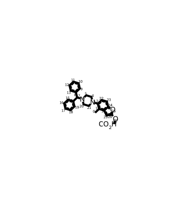 Cc1c(N2CCN(C(c3ccccc3)c3ccccc3)CC2)ccc2oc(OC(=O)O)cc12